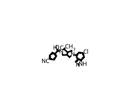 CC1(C)C2CN(c3cc(Cl)cc4[nH]ncc34)CC2CN1C(=O)c1ccc(C#N)cc1